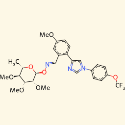 COc1ccc(-c2cn(-c3ccc(OC(F)(F)F)cc3)cn2)c(/C=N/O[C@@H]2O[C@@H](C)[C@H](OC)[C@@H](OC)[C@H]2OC)c1